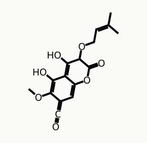 COc1c(O)c2c(cc1=C=O)OC(=O)C(OCC=C(C)C)C=2O